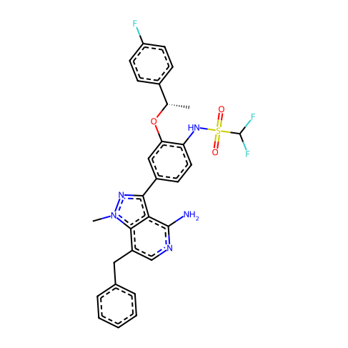 C[C@H](Oc1cc(-c2nn(C)c3c(Cc4ccccc4)cnc(N)c23)ccc1NS(=O)(=O)C(F)F)c1ccc(F)cc1